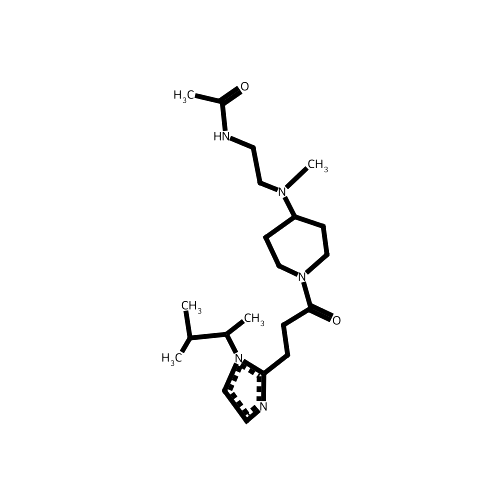 CC(=O)NCCN(C)C1CCN(C(=O)CCc2nccn2C(C)C(C)C)CC1